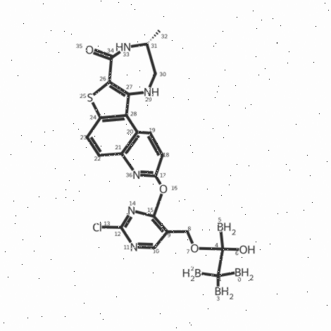 BC(B)(B)C(B)(O)OCc1cnc(Cl)nc1Oc1ccc2c(ccc3sc4c(c32)NC[C@@H](C)NC4=O)n1